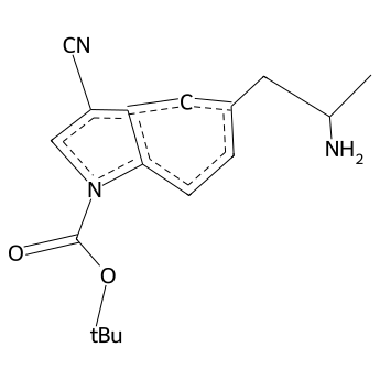 CC(N)Cc1ccc2c(c1)c(C#N)cn2C(=O)OC(C)(C)C